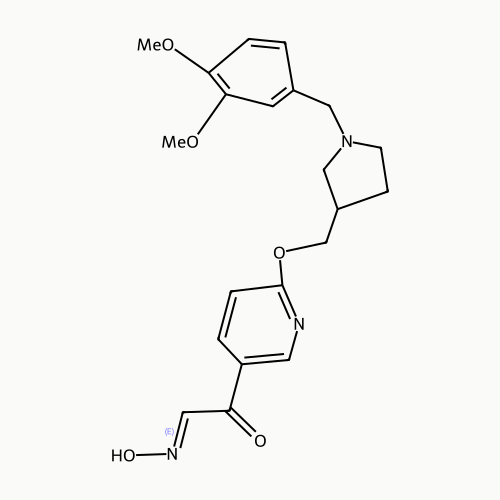 COc1ccc(CN2CCC(COc3ccc(C(=O)/C=N/O)cn3)C2)cc1OC